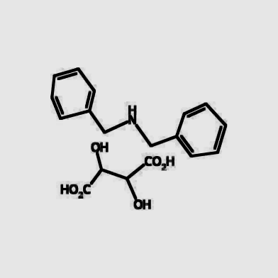 O=C(O)C(O)C(O)C(=O)O.c1ccc(CNCc2ccccc2)cc1